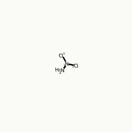 NN(Cl)Cl